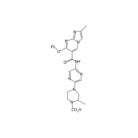 CCOc1nc2nc(C)cn2cc1C(=O)Nc1cnc(N2CCN(C(=O)O)C(C)C2)cn1